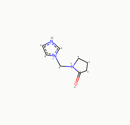 O=C1CCCN1Cn1ccnc1